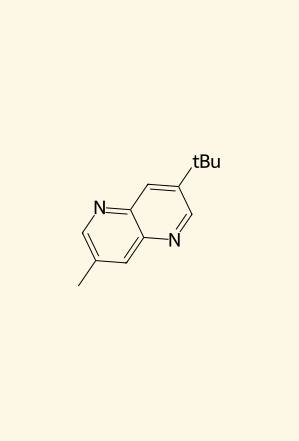 Cc1cnc2cc(C(C)(C)C)cnc2c1